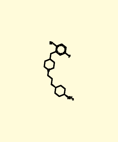 N[C@H]1CC[C@@H](CCCN2CCC(Cc3cc(F)ccc3Br)CC2)CC1